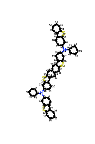 c1ccc(N(c2ccc3c(c2)sc2ccccc23)c2ccc3c(c2)sc2cc4cc5c(cc4cc23)sc2cc(N(c3ccccc3)c3ccc4c(c3)sc3ccccc34)ccc25)cc1